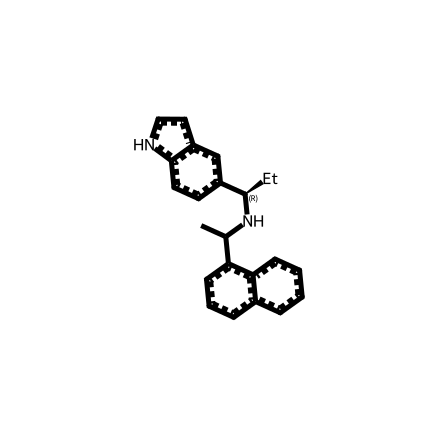 CC[C@@H](NC(C)c1cccc2ccccc12)c1ccc2[nH]ccc2c1